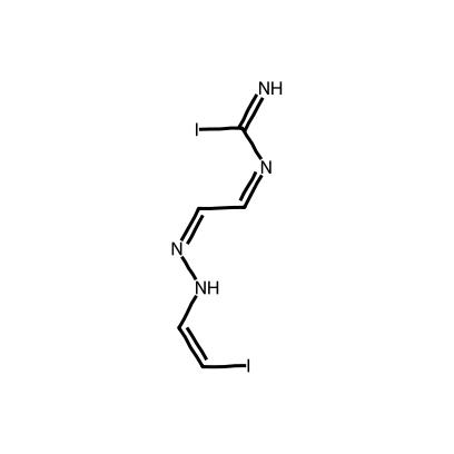 N=C(I)/N=C\C=N/N/C=C\I